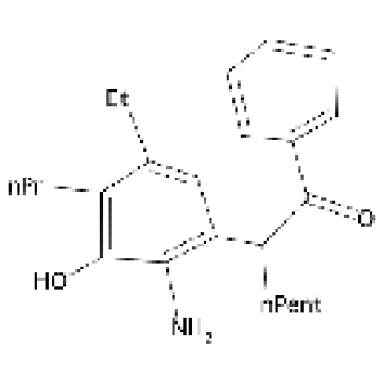 CCCCCC(C(=O)c1ccccc1)c1cc(CC)c(CCC)c(O)c1N